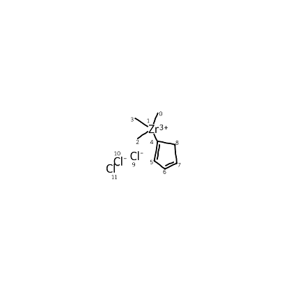 [CH3][Zr+3]([CH3])([CH3])[C]1=CC=CC1.[Cl-].[Cl-].[Cl-]